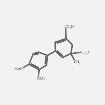 COc1ccc(C2=CC(C)(C(=O)O)CC(C(=O)O)=C2)cc1OC